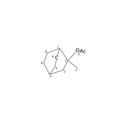 CC(=O)OC1(C)CC2CCC1CC2